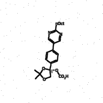 CCCCCCCCc1ncc(-c2ccc([C@@]3(OC(=O)O)COC(C)(C)O3)cc2)cn1